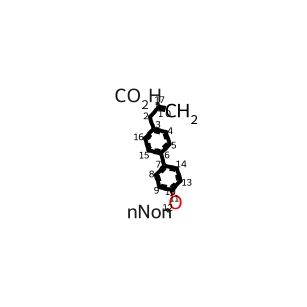 C=C(Cc1ccc(-c2ccc(OCCCCCCCCC)cc2)cc1)C(=O)O